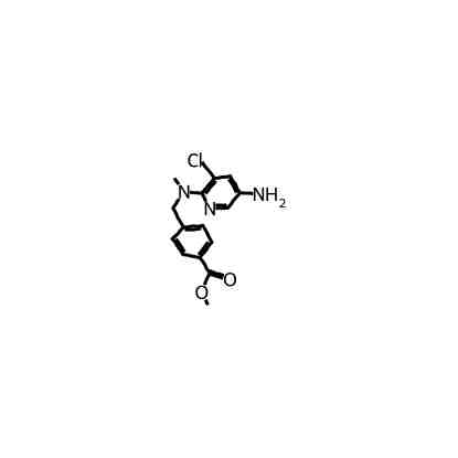 COC(=O)c1ccc(CN(C)c2ncc(N)cc2Cl)cc1